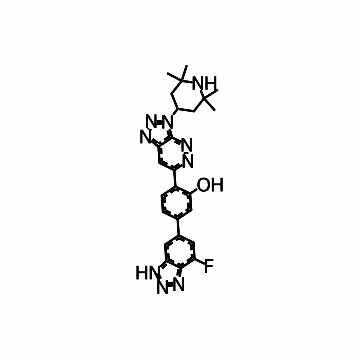 CC1(C)CC(n2nnc3cc(-c4ccc(-c5cc(F)c6nn[nH]c6c5)cc4O)nnc32)CC(C)(C)N1